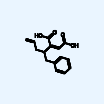 C=CCC(Cc1ccccc1)C(=CC(=O)O)C(=O)O